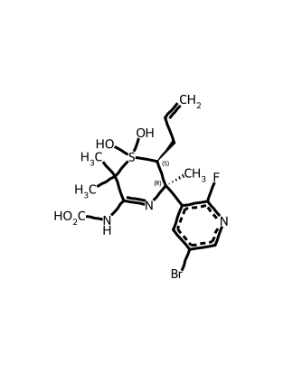 C=CC[C@H]1[C@@](C)(c2cc(Br)cnc2F)N=C(NC(=O)O)C(C)(C)S1(O)O